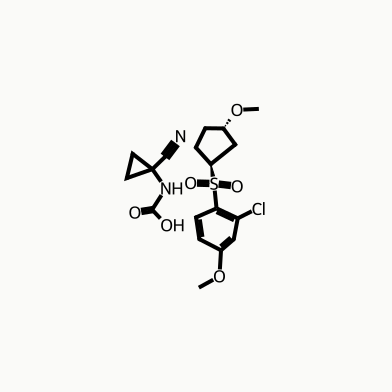 COc1ccc(S(=O)(=O)[C@H]2CC[C@H](OC)C2)c(Cl)c1.N#CC1(NC(=O)O)CC1